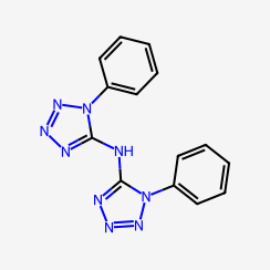 c1ccc(-n2nnnc2Nc2nnnn2-c2ccccc2)cc1